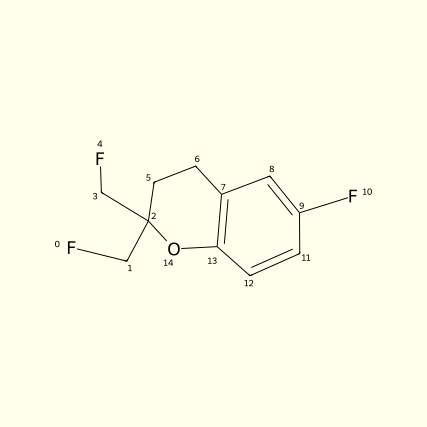 FCC1(CF)CCc2cc(F)ccc2O1